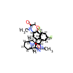 CN1C(=O)COc2ccc(C(=O)N3[C@H]4CCC[C@@H]3c3nn(C)c(-c5cc(F)cc(F)c5)c3C4)cc21